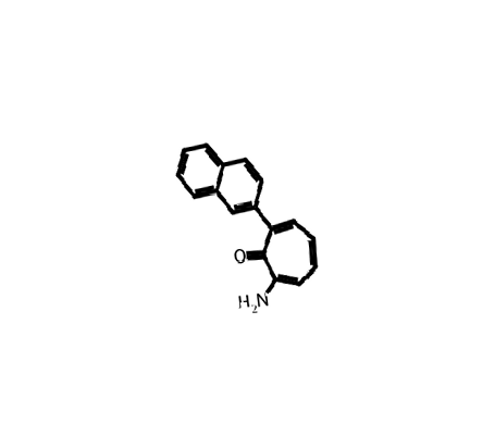 Nc1ccccc(-c2ccc3ccccc3c2)c1=O